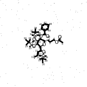 CC(=O)OCCC[C@@H]1O[C@@H]([C@H](C=CI)O[Si](C)(C)C(C)(C)C)[C@@H](O[Si](C)(C)C(C)(C)C)[C@@H](O[Si](C)(C)C(C)(C)C)[C@H]1OC(=O)c1ccccc1